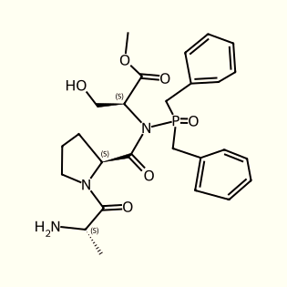 COC(=O)[C@H](CO)N(C(=O)[C@@H]1CCCN1C(=O)[C@H](C)N)P(=O)(Cc1ccccc1)Cc1ccccc1